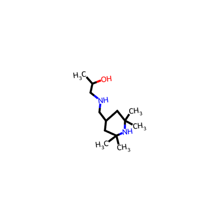 CC(O)CNCC1CC(C)(C)NC(C)(C)C1